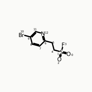 O=S(=O)(F)CCc1ccc(Br)cn1